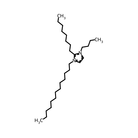 CCCCCCCCCCCCC[n+]1ccn(CCCC)c1CCCCCCCC